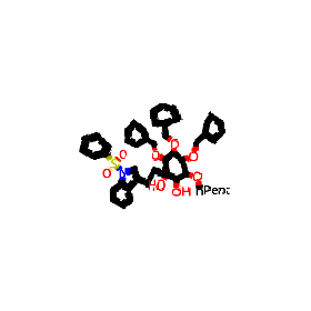 CCCCCOC1C(OCc2ccccc2)C(OCc2ccccc2)C(OCc2ccccc2)C(O)(CCc2cn(S(=O)(=O)c3ccccc3)c3ccccc23)C1O